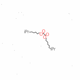 CC(C)CCCCCCOC(=O)C(=O)OCCCCCCC(C)C